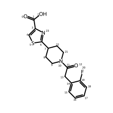 O=C(O)c1csc(C2CCN(C(=O)Cc3ccccc3F)CC2)n1